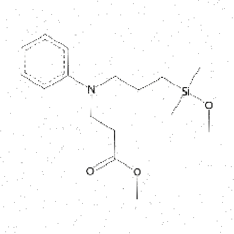 COC(=O)CCN(CCC[Si](C)(C)OC)c1ccccc1